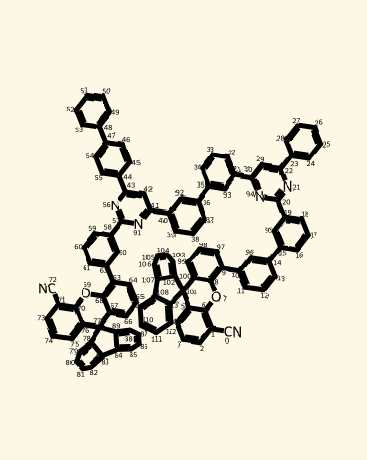 N#Cc1cccc2c1Oc1c(-c3cccc(-c4cccc(-c5nc(-c6ccccc6)cc(-c6cccc(-c7cccc(-c8cc(-c9ccc(-c%10ccccc%10)cc9)nc(-c9cccc(-c%10cccc%11c%10Oc%10c(C#N)cccc%10C%11%10c%11ccccc%11-c%11ccccc%11%10)c9)n8)c7)c6)n5)c4)c3)cccc1C21c2ccccc2-c2ccccc21